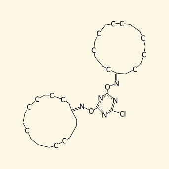 Clc1nc(ON=C2CCCCCCCCCCCCCCCCC2)nc(ON=C2CCCCCCCCCCCCCCCCC2)n1